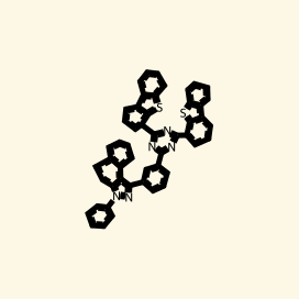 c1ccc(-n2nc(-c3cccc(-c4nc(-c5cccc6c5sc5ccccc56)nc(-c5cccc6c5sc5ccccc56)n4)c3)c3c4ccccc4ccc32)cc1